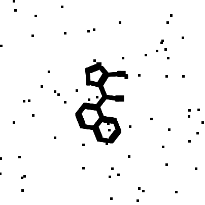 Cc1ncsc1C(O)c1cccc2ccccc12